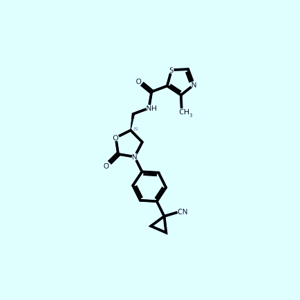 Cc1ncsc1C(=O)NC[C@H]1CN(c2ccc(C3(C#N)CC3)cc2)C(=O)O1